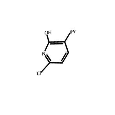 CC(C)c1ccc(Cl)nc1O